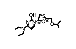 CCN(CC)C1=NC(O)N([C@H]2CS[C@@H](COC(C)C)O2)C=C1